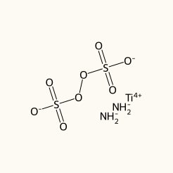 O=S(=O)([O-])OOS(=O)(=O)[O-].[NH2-].[NH2-].[Ti+4]